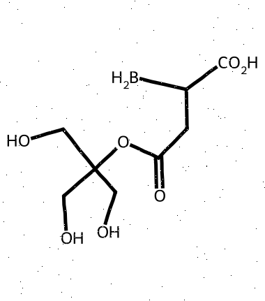 BC(CC(=O)OC(CO)(CO)CO)C(=O)O